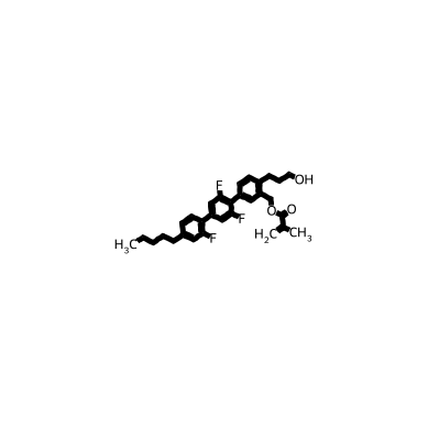 C=C(C)C(=O)OCc1cc(-c2c(F)cc(-c3ccc(CCCCC)cc3F)cc2F)ccc1CCCO